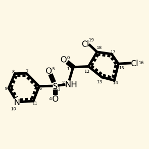 O=C(NS(=O)(=O)c1cccnc1)c1ccc(Cl)cc1Cl